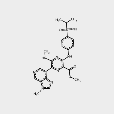 CNc1nc(Nc2ccc(S(=N)(=O)C(C)C)cc2)c(C(=O)OC)nc1-c1cncc2c1ncn2C